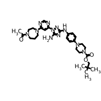 CC(=O)N1CCCN(c2cc(-n3nc(Nc4ccc(N5CCN(C(=O)OCC(C)(C)C)CC5)cc4)nc3N)ncn2)CC1